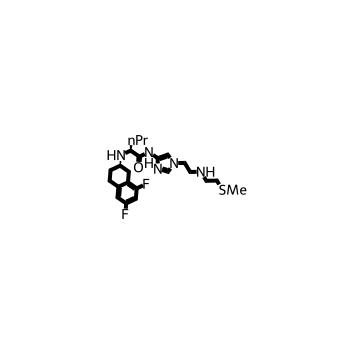 CCC[C@H](N[C@H]1CCc2cc(F)cc(F)c2C1)C(=O)Nc1cn(CCNCCSC)cn1